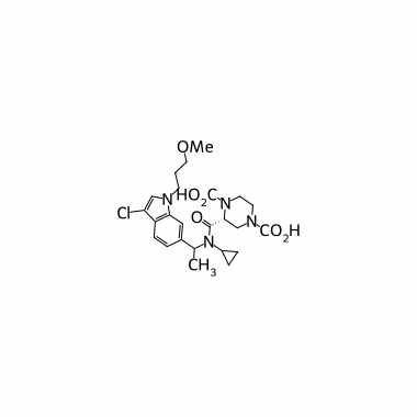 COCCCn1cc(Cl)c2ccc(C(C)N(C(=O)[C@H]3CN(C(=O)O)CCN3C(=O)O)C3CC3)cc21